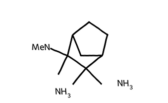 CNC1(C)C2CCC(C2)C1(C)C.N.N